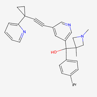 CC(C)c1ccc(C(O)(c2cncc(C#CC3(c4ccccn4)CC3)c2)C2(C)CN(C)C2)cc1